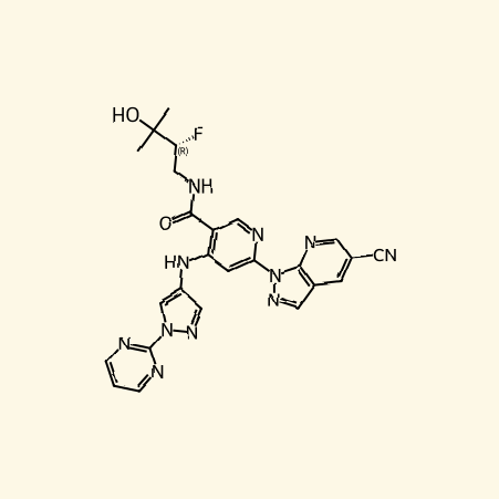 CC(C)(O)[C@H](F)CNC(=O)c1cnc(-n2ncc3cc(C#N)cnc32)cc1Nc1cnn(-c2ncccn2)c1